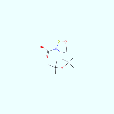 CC(C)(C)OC(C)(C)C.O=C(O)N1CCOS1